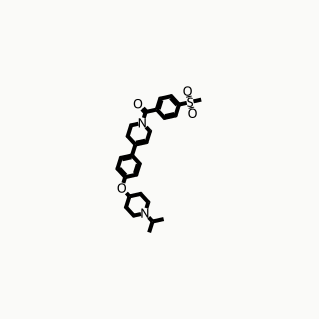 CC(C)N1CCC(Oc2ccc(C3=CCN(C(=O)c4ccc(S(C)(=O)=O)cc4)CC3)cc2)CC1